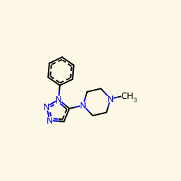 CN1CCN(c2cnnn2-c2ccccc2)CC1